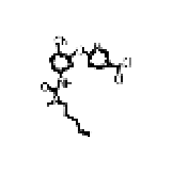 C=CCCCN(C)C(=O)Nc1ccc(C#N)c(Oc2ccc(C(Cl)Cl)cn2)c1